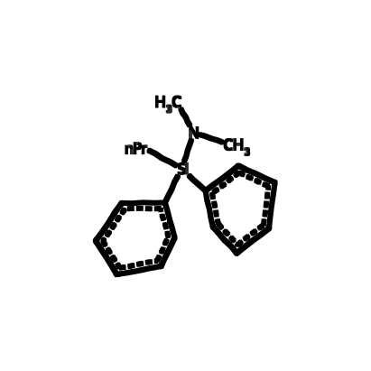 CCC[Si](c1ccccc1)(c1ccccc1)N(C)C